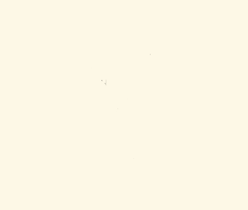 C=CCOc1ccc(Cl)c2cccnc12